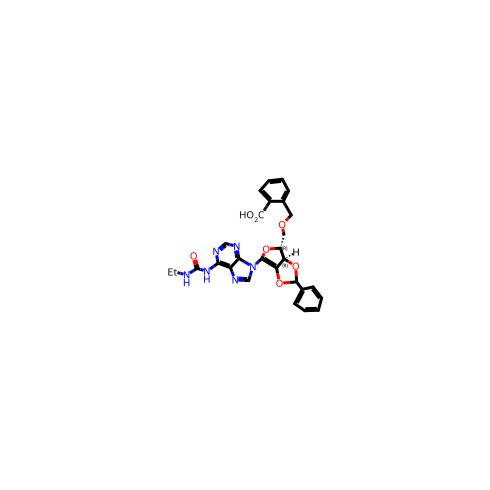 CCNC(=O)Nc1ncnc2c1ncn2C1=C2OC(c3ccccc3)O[C@@H]2[C@@H](COCc2ccccc2C(=O)O)O1